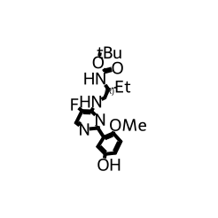 CC[C@H](CNc1nc(-c2cc(O)ccc2OC)ncc1F)NC(=O)OC(C)(C)C